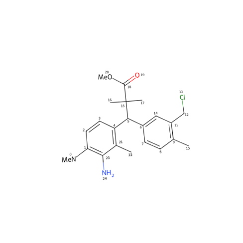 CNc1ccc(C(c2ccc(C)c(CCl)c2)C(C)(C)C(=O)OC)c(C)c1N